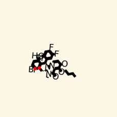 CCCCOc1c2n(ccc1=O)N(C(c1cc(F)c(F)cc1O)c1ccccc1Br)[C@@H](CCBr)N(C)C2=O